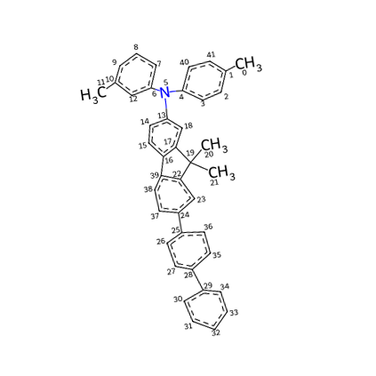 Cc1ccc(N(c2cccc(C)c2)c2ccc3c(c2)C(C)(C)c2cc(-c4ccc(-c5ccccc5)cc4)ccc2-3)cc1